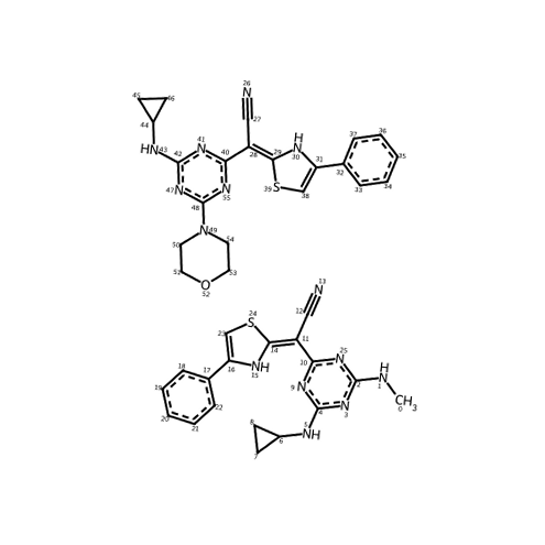 CNc1nc(NC2CC2)nc(C(C#N)=C2NC(c3ccccc3)=CS2)n1.N#CC(=C1NC(c2ccccc2)=CS1)c1nc(NC2CC2)nc(N2CCOCC2)n1